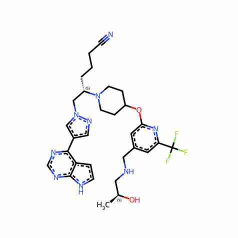 C[C@H](O)CNCc1cc(OC2CCN([C@@H](CCCC#N)Cn3cc(-c4ncnc5[nH]ccc45)cn3)CC2)nc(C(F)(F)F)c1